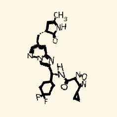 C[C@@H]1C[C@@H](Cc2cnn3cc([C@@H](NC(=O)c4nonc4C4CC4)C4CCC(F)(F)CC4)nc3c2)C(=O)N1